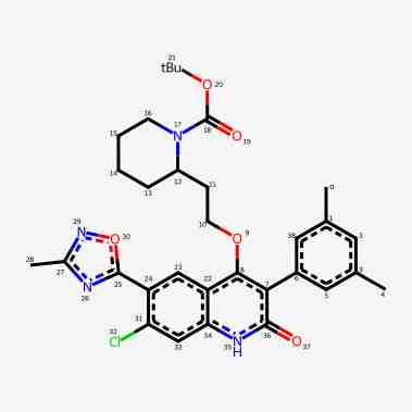 Cc1cc(C)cc(-c2c(OCCC3CCCCN3C(=O)OC(C)(C)C)c3cc(-c4nc(C)no4)c(Cl)cc3[nH]c2=O)c1